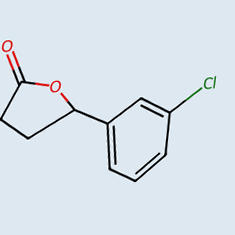 O=C1CCC(c2cccc(Cl)c2)O1